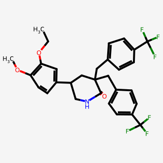 CCOc1cc(C2CNC(=O)C(Cc3ccc(C(F)(F)F)cc3)(Cc3ccc(C(F)(F)F)cc3)C2)ccc1OC